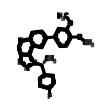 COc1ccc(-c2ccc3ncc4nnn([C@H](C)c5ccc(F)cc5)c4c3c2)cc1OC